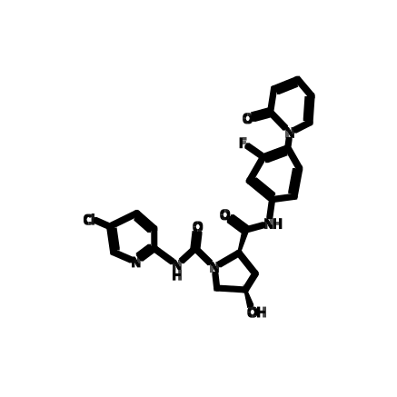 O=C(Nc1ccc(-n2ccccc2=O)c(F)c1)[C@H]1C[C@@H](O)CN1C(=O)Nc1ccc(Cl)cn1